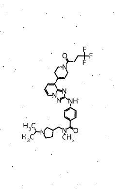 CC(C)N1CCC(CN(C)C(=O)c2ccc(Nc3nc4c(C5=CCN(C(=O)CCC(F)(F)F)CC5)cccn4n3)cc2)C1